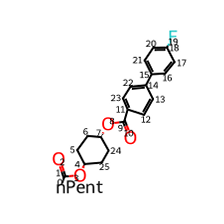 CCCCCC(=O)O[C@H]1CC[C@H](OC(=O)c2ccc(-c3ccc(F)cc3)cc2)CC1